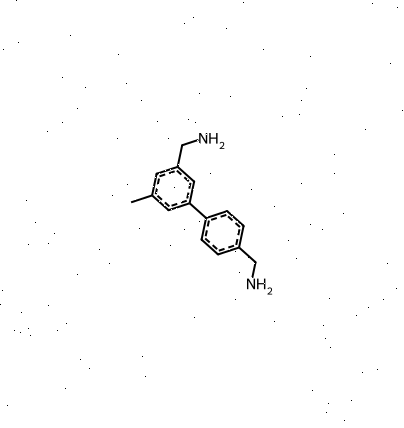 Cc1cc(CN)cc(-c2ccc(CN)cc2)c1